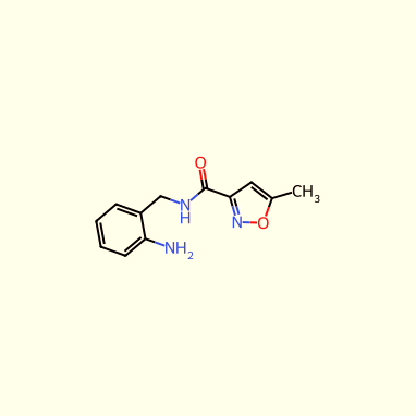 Cc1cc(C(=O)NCc2ccccc2N)no1